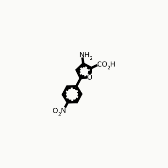 Nc1cc(-c2ccc([N+](=O)[O-])cc2)oc1C(=O)O